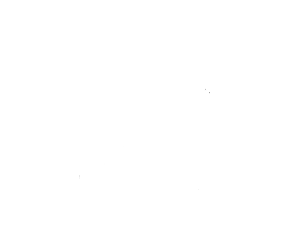 COc1ccc(C2CCCN2)cc1OC